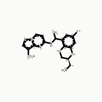 CC(Nc1ccn2ncc(C(=O)O)c2n1)c1cc(F)cc2c1OC[C@H](CN)O2